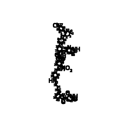 CC1(C)CCC(CN2CCN(c3ccc(C(=O)NS(=O)(=O)c4ccc(NC[C@H]5CC[C@@H](NCCCCSc6cccc7c6CN(C6CCC(=O)NC6=O)C7=O)CC5)c([N+](=O)[O-])c4)c(Oc4cnc5[nH]ccc5c4)c3)CC2)=C(c2ccc(Cl)cc2)C1